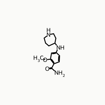 COc1cc(NC2CCCNCC2)ccc1C(N)=O